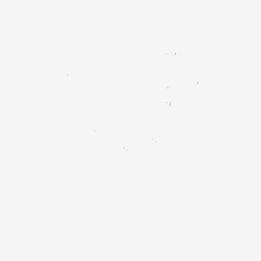 CNC(=O)[C@@H](NC(=O)c1nc(-c2ccccc2)n2c1CN(OC(=O)OC(C)(C)C)CC2)C(C)(C)C